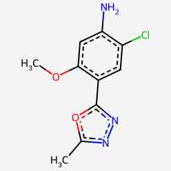 COc1cc(N)c(Cl)cc1-c1nnc(C)o1